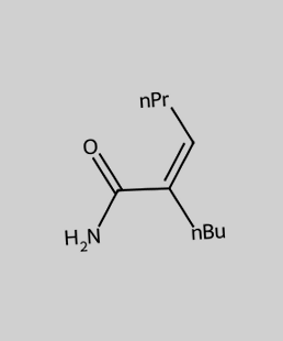 CCCC=C(CCCC)C(N)=O